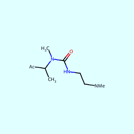 CNCCNC(=O)N(C)C(C)C(C)=O